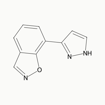 c1cc(-c2cc[nH]n2)c2oncc2c1